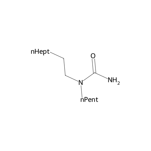 CCCCCCCCCN(CCCCC)C(N)=O